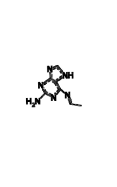 CC=Nc1nc(N)nc2nc[nH]c12